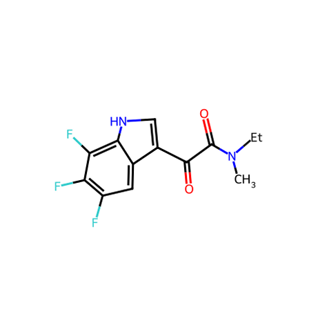 CCN(C)C(=O)C(=O)c1c[nH]c2c(F)c(F)c(F)cc12